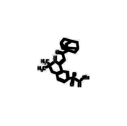 CC(C)(C)NS(=O)(=O)c1ccc2c(c1)C(=CC(=O)C13CC4CC(CC(C4)C1)C3)NC(C)(C)C2